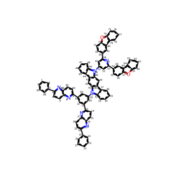 c1ccc(-c2ccc3nc(-c4cc(-c5ccc6nc(-c7ccccc7)ccc6n5)cc(-n5c6ccccc6c6cc7c(cc65)c5ccccc5n7-c5cc(-c6ccc7oc8ccccc8c7c6)nc(-c6ccc7oc8ccccc8c7c6)c5)c4)ccc3n2)cc1